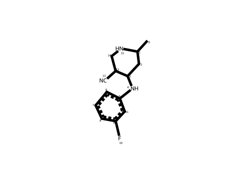 CC1CC(Nc2cccc(F)c2)C(C#N)CN1